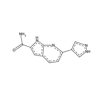 NC(=O)c1cc2ccc(-c3cn[nH]c3)nc2[nH]1